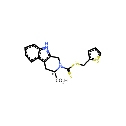 O=C(O)[C@H]1Cc2c([nH]c3ccccc23)CN1C(=S)SCc1cccs1